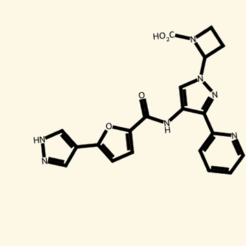 O=C(Nc1cn(C2CCN2C(=O)O)nc1-c1ccccn1)c1ccc(-c2cn[nH]c2)o1